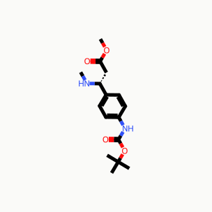 CN[C@H](CC(=O)OC)c1ccc(NC(=O)OC(C)(C)C)cc1